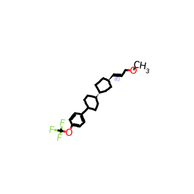 COC/C=C/[C@H]1CC[C@H](C2CCC(c3ccc(OC(F)(F)F)cc3)CC2)CC1